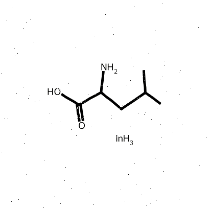 CC(C)CC(N)C(=O)O.[InH3]